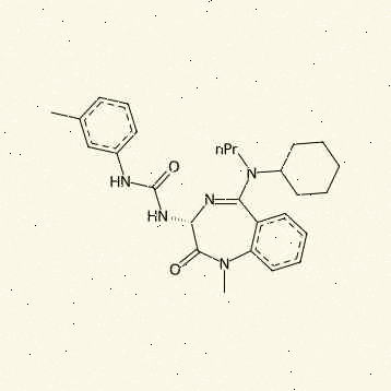 CCCN(C1=N[C@@H](NC(=O)Nc2cccc(C)c2)C(=O)N(C)c2ccccc21)C1CCCCC1